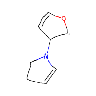 [C]1OC=CC1N1C=CCC1